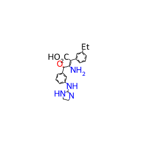 CCc1cccc(C(C(=O)O)=C(N)C(=O)c2cccc(NC3=NCCN3)c2)c1